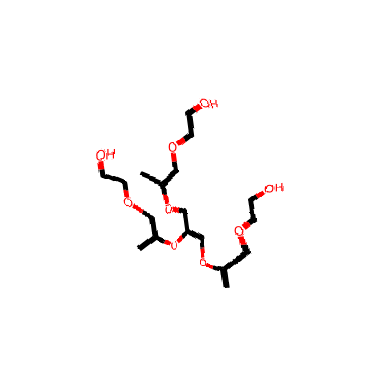 CC(COCCO)OCC(COC(C)COCCO)OC(C)COCCO